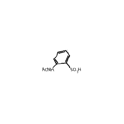 CC(=O)Nc1cc[c]cc1S(=O)(=O)O